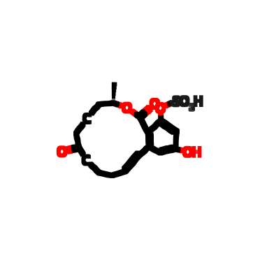 C[C@H]1CCCC(=O)CCC/C=C/c2cc(O)cc(OS(=O)(=O)O)c2C(=O)O1